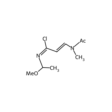 COC(C)/N=C(Cl)\C=C\N(C)C(C)=O